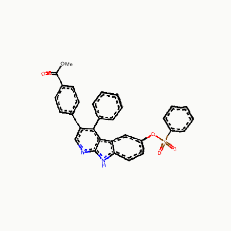 COC(=O)c1ccc(-c2cnc3[nH]c4ccc(OS(=O)(=O)c5ccccc5)cc4c3c2-c2ccccc2)cc1